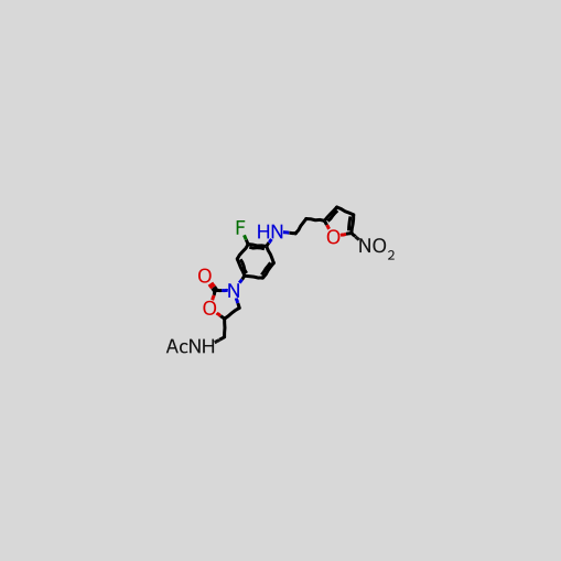 CC(=O)NCC1CN(c2ccc(NCCc3ccc([N+](=O)[O-])o3)c(F)c2)C(=O)O1